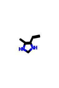 C=CC1=C(C)NCN1